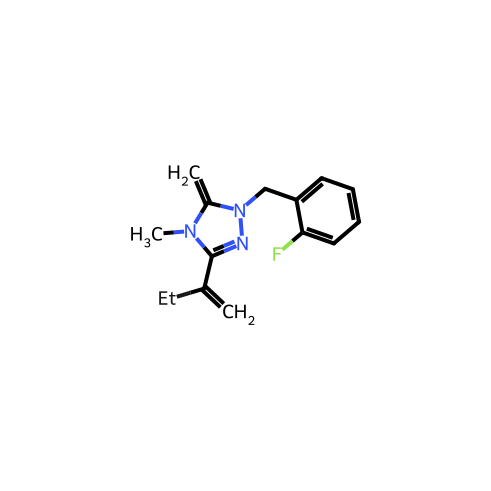 C=C(CC)C1=NN(Cc2ccccc2F)C(=C)N1C